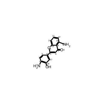 Nc1ccc(-c2cc(=O)c3c(N)cccc3o2)cc1O